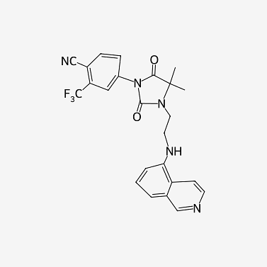 CC1(C)C(=O)N(c2ccc(C#N)c(C(F)(F)F)c2)C(=O)N1CCNc1cccc2cnccc12